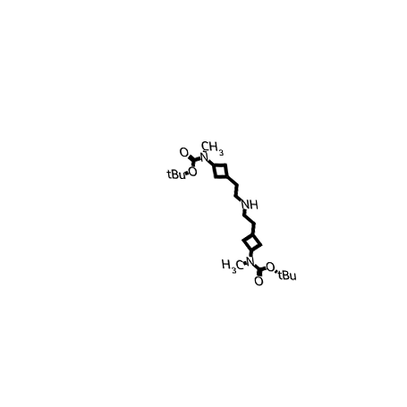 CN(C(=O)OC(C)(C)C)C1CC(CCNCCC2CC(N(C)C(=O)OC(C)(C)C)C2)C1